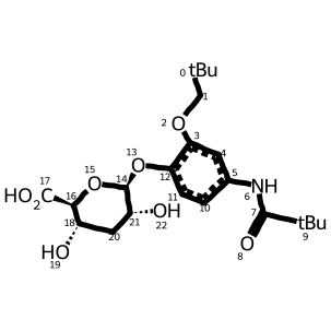 CC(C)(C)COc1cc(NC(=O)C(C)(C)C)ccc1O[C@@H]1O[C@H](C(=O)O)[C@@H](O)C[C@H]1O